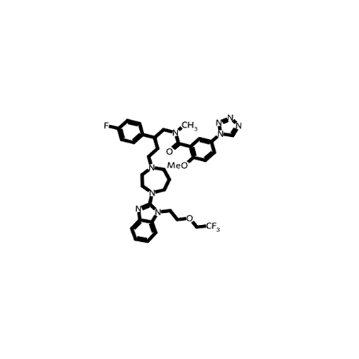 COc1ccc(-n2cnnn2)cc1C(=O)N(C)CC(CCN1CCCN(c2nc3ccccc3n2CCOCC(F)(F)F)CC1)c1ccc(F)cc1